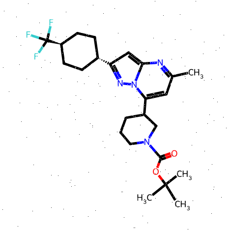 Cc1cc(C2CCCN(C(=O)OC(C)(C)C)C2)n2nc([C@H]3CC[C@H](C(F)(F)F)CC3)cc2n1